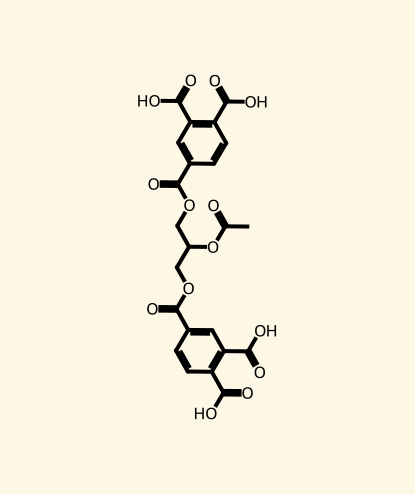 CC(=O)OC(COC(=O)c1ccc(C(=O)O)c(C(=O)O)c1)COC(=O)c1ccc(C(=O)O)c(C(=O)O)c1